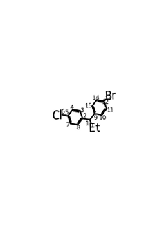 [CH2]CC(c1ccc(Cl)cc1)c1ccc(Br)cc1